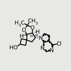 CC1(C)O[C@H]2[C@H](n3ccc4c(Cl)ncnc43)CC3(CC(O)C3)[C@H]2O1